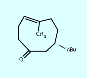 CCCC[C@H]1CC/C(C)=C/CCC(=O)C1